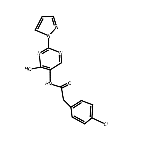 O=C(Cc1ccc(Cl)cc1)Nc1cnc(-n2cccn2)nc1O